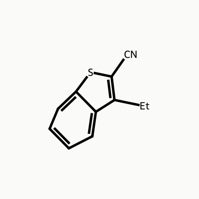 CCc1c(C#N)sc2ccccc12